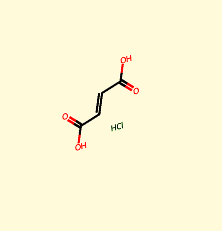 Cl.O=C(O)C=CC(=O)O